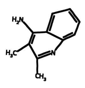 Cc1nc2ccccc2c(N)c1C